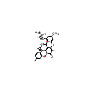 CNS(=O)(=O)Nc1cc(OC)cc(Oc2c(C(=O)NC3CC3)c(Nc3ccc(I)cc3F)n(C)c(=O)c2C)c1